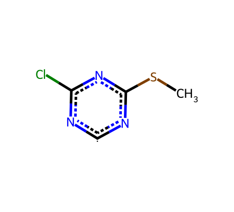 CSc1n[c]nc(Cl)n1